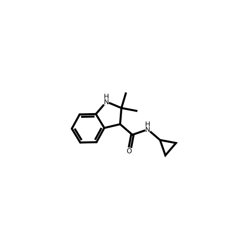 CC1(C)Nc2ccccc2C1C(=O)NC1CC1